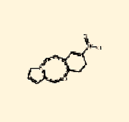 O=[N+]([O-])C1=Cc2ccn3c(coc2CC1)C=CC3